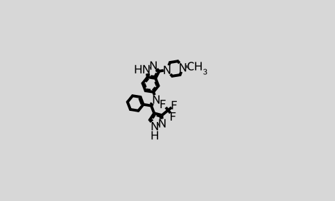 CN1CCN(c2n[nH]c3ccc(/N=C(\C4=CCCCC4)c4c[nH]nc4C(F)(F)F)cc23)CC1